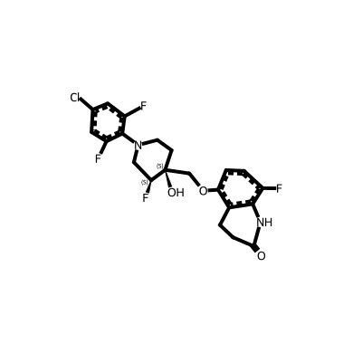 O=C1CCc2c(OC[C@@]3(O)CCN(c4c(F)cc(Cl)cc4F)C[C@@H]3F)ccc(F)c2N1